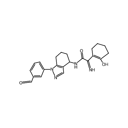 N=C(C(=O)NC1CCCc2c1cnn2-c1cccc(C=O)c1)C1=C(O)CCCC1